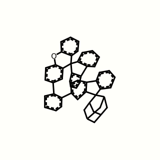 c1ccc2c(c1)Oc1ccc(-c3ccccc3-c3ccc4c(c3)C3(c5ccccc5-4)C4CC5CC(C4)CC3C5)cc1C21c2ccccc2-c2ccccc21